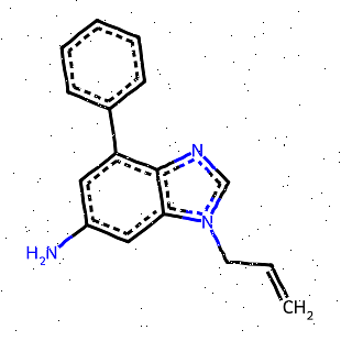 C=CCn1cnc2c(-c3ccccc3)cc(N)cc21